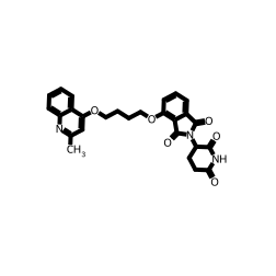 Cc1cc(OCCCCOc2cccc3c2C(=O)N(C2CCC(=O)NC2=O)C3=O)c2ccccc2n1